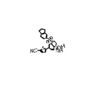 N#Cc1ccc(-c2ccc3c(c2)N(S(=O)(=O)c2ccc4c(c2)CCC4)CCS3(O)O)s1